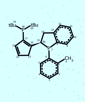 Cc1ccccc1P1c2ccccc2C[C@@H]1C1=C(P(C(C)(C)C)C(C)(C)C)C=CC1